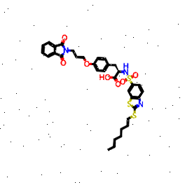 CCCCCCCSc1nc2ccc(S(=O)(=O)N[C@H](Cc3ccc(OCCCN4C(=O)c5ccccc5C4=O)cc3)C(=O)O)cc2s1